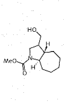 COC(=O)N1CC(CO)[C@@H]2CCCCC[C@H]21